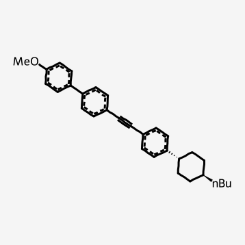 CCCC[C@H]1CC[C@H](c2ccc(C#Cc3ccc(-c4ccc(OC)cc4)cc3)cc2)CC1